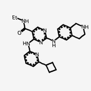 CCNC(=O)c1cnc(Nc2ccc3c(c2)CCNC3)nc1Nc1cccc(C2CCC2)n1